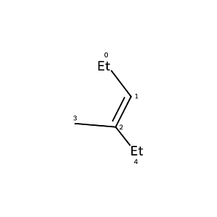 [CH2]CC=C(C)CC